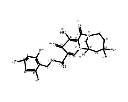 O=C(NCc1c(F)cc(F)cc1F)c1cn2c(c(O)c1=O)C(=O)N1CCC(F)(F)C[C@H]2C1